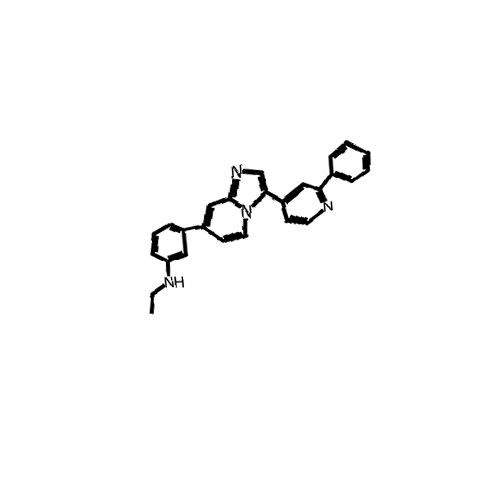 CCNc1cccc(-c2ccn3c(-c4ccnc(-c5ccccc5)c4)cnc3c2)c1